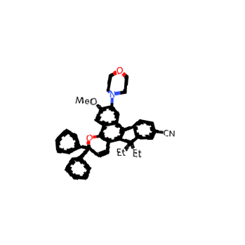 CCC1(CC)c2cc(C#N)ccc2-c2c1c1c(c3cc(OC)c(N4CCOCC4)cc23)OC(c2ccccc2)(c2ccccc2)C=C1